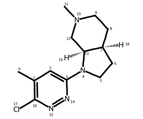 Cc1cc(N2CC[C@@H]3CCN(C)C[C@@H]32)nnc1Cl